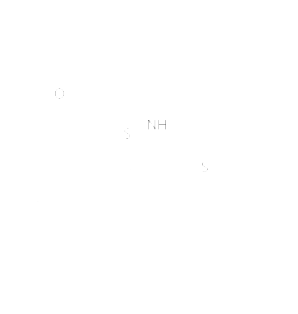 COc1ccccc1S(C)(NC(C)(C)C)C1C(C)=C(C)c2c1sc1c2CCC=C1